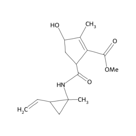 C=CC1CC1(C)NC(=O)C1CC(O)C(C)=C1C(=O)OC